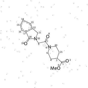 COC(=O)C1CCN(C(=O)CN2Cc3ccccc3C2=O)CC1